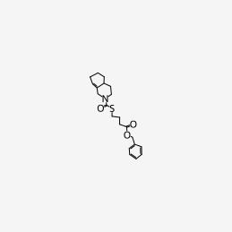 O=C(CCCSC(=O)N1CCC2CCCC=C2C1)OCc1ccccc1